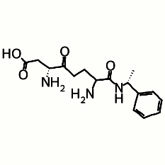 C[C@@H](NC(=O)C(N)CCC(=O)[C@H](N)CC(=O)O)c1ccccc1